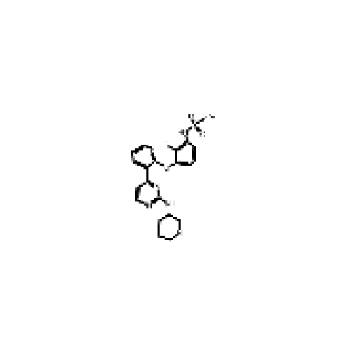 CCCS(=O)(=O)Nc1cccc(Oc2ncccc2-c2ccnc(N[C@H]3CCCNC3)n2)c1F